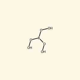 OOB(OO)OO